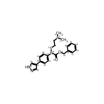 CN(C)CCSN(C(=O)OCc1ccccc1)c1ccc(-c2cn[nH]c2)cc1